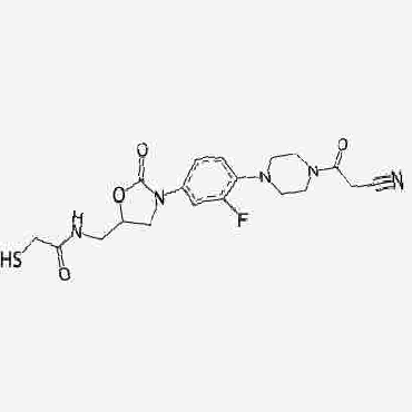 N#CCC(=O)N1CCN(c2ccc(N3CC(CNC(=O)CS)OC3=O)cc2F)CC1